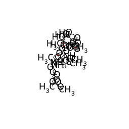 COCC(=O)C(C)OC(=O)CC(=O)OCC(=O)NN=CC(C)CC(=O)OC(C(=O)OC1CC2(O)C(OC(=O)c3ccccc3)C3C4(OC(C)=O)COC4CC(O)C3(C)C(=O)C(O)C(=C1C)C2(C)C)C(NC(=O)OC(C)(C)C)c1ccccc1